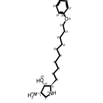 N[C@H]1CN[C@H](CCCCCCCCCCOc2ccc(F)cc2)[C@H]1O